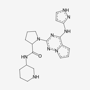 O=C(NC1CCCNC1)C1CCCN1c1nc(Nc2cc[nH]n2)c2cccn2n1